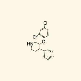 Clc1ccc(OC2CNCCC2c2cc[c]cc2)c(Cl)c1